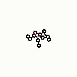 c1ccc(-c2ccc(N(c3cccc(-c4cccc5ccccc45)c3)c3ccc(-c4ccccc4-n4c5ccccc5c5c6ccccc6ccc54)cc3-c3ccccc3)cc2)cc1